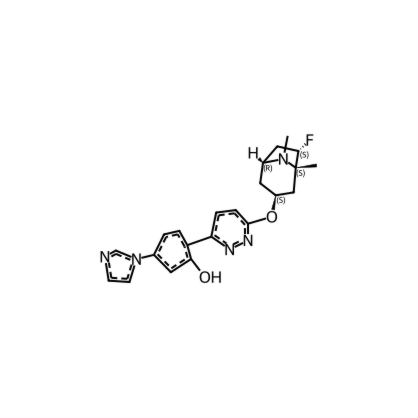 CN1[C@@H]2C[C@H](Oc3ccc(-c4ccc(-n5ccnc5)cc4O)nn3)C[C@@]1(C)[C@@H](F)C2